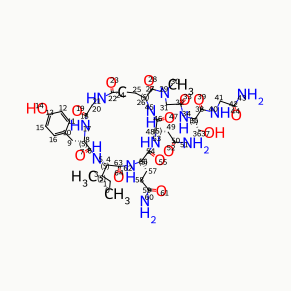 CC[C@H](C)[C@@H]1NC(=O)[C@H](Cc2ccc(O)cc2)NC(=O)CNC(=O)CC[C@@H](C(=O)N(C)CC(=O)N[C@@H](CO)C(=O)NCC(N)=O)NC(=O)[C@H](CC(N)=O)NC(=O)[C@H](CCC(N)=O)NC1=O